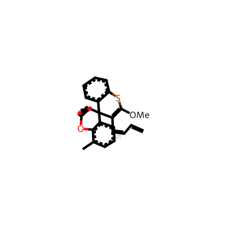 C=C/C=C\C1=C(OC)Sc2ccccc2C12c1ccccc1Oc1c(C)cccc12